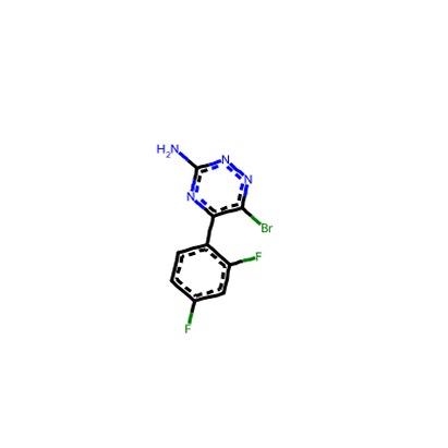 Nc1nnc(Br)c(-c2ccc(F)cc2F)n1